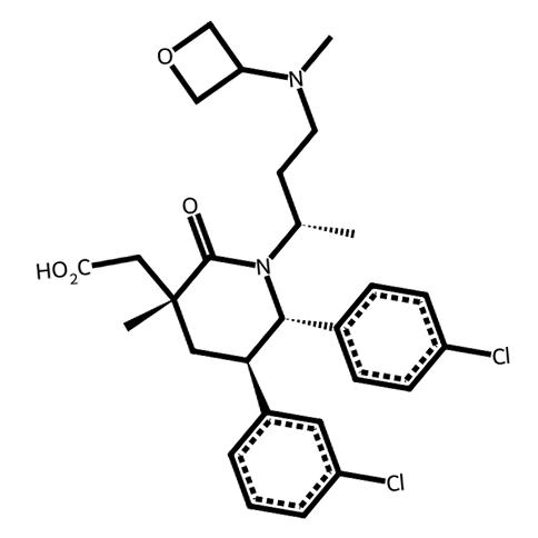 C[C@@H](CCN(C)C1COC1)N1C(=O)[C@@](C)(CC(=O)O)C[C@H](c2cccc(Cl)c2)[C@H]1c1ccc(Cl)cc1